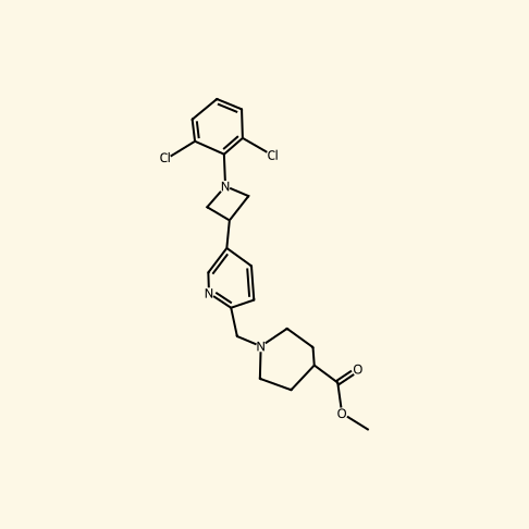 COC(=O)C1CCN(Cc2ccc(C3CN(c4c(Cl)cccc4Cl)C3)cn2)CC1